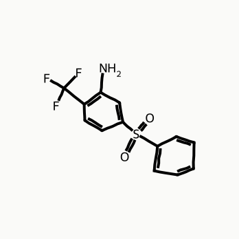 Nc1cc(S(=O)(=O)c2ccccc2)ccc1C(F)(F)F